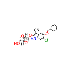 N#Cc1c(O[C@@H]2CO[C@H]3[C@@H]2OC[C@H]3O)[nH]c2cc(Cl)c(OCc3ccccc3)cc12